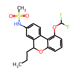 CCCC1Oc2cccc(OC(F)F)c2-c2ccc(NS(C)(=O)=O)cc21